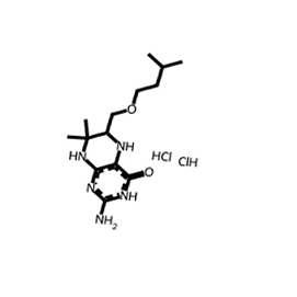 CC(C)CCOCC1Nc2c(nc(N)[nH]c2=O)NC1(C)C.Cl.Cl